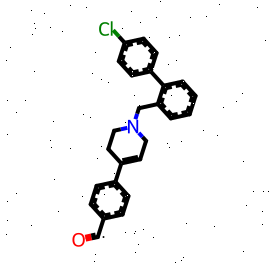 O=[C]c1ccc(C2=CCN(Cc3ccccc3-c3ccc(Cl)cc3)CC2)cc1